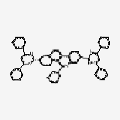 c1ccc(-c2cc(-c3ccccc3)nc(-c3ccc4c(ccc5c6ccc(-c7nc(-c8ccccc8)cc(-c8ccccc8)n7)cc6nc(-c6ccccc6)c45)c3)n2)cc1